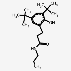 CCCNC(=O)CCc1cc(C(C)(C)C)cc(C(C)(C)C)c1O